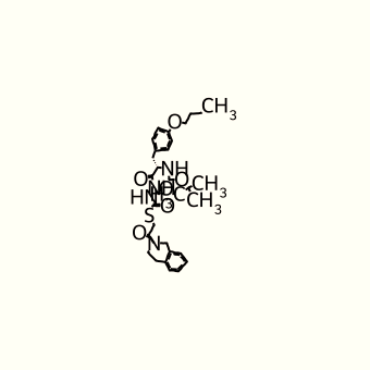 CCCCOc1ccc(C[C@H](NC(=O)OC(C)(C)C)C(=O)NNC(=O)SCC(=O)N2CCc3ccccc3C2)cc1